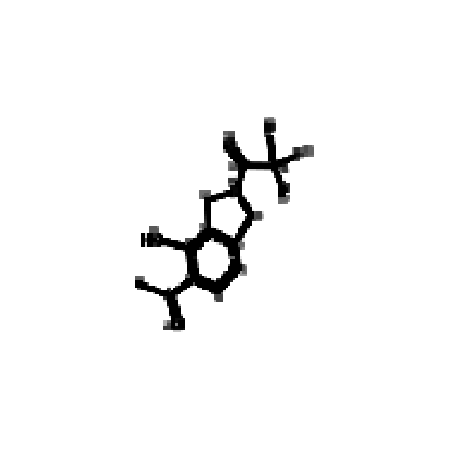 CC(=O)c1ccc2c(c1O)CN(C(=O)C(F)(F)F)C2